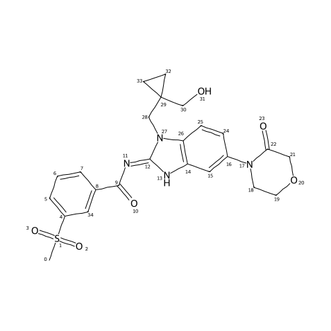 CS(=O)(=O)c1cccc(C(=O)/N=c2\[nH]c3cc(N4CCOCC4=O)ccc3n2CC2(CO)CC2)c1